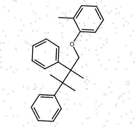 Cc1ccccc1OCC(C)(c1ccccc1)C(C)(C)c1ccccc1